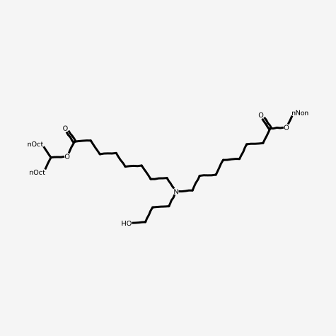 CCCCCCCCCOC(=O)CCCCCCCN(CCCO)CCCCCCCC(=O)OC(CCCCCCCC)CCCCCCCC